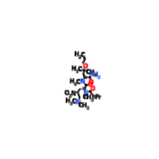 C=CCOC(C)(C)C[C@@H](C(N)=O)N(C)C(=O)[C@@H](CC(CN(C)C)[N+](=O)[O-])N(C)C(=O)CCC